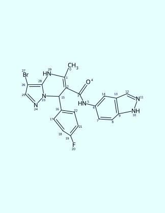 CC1=C(C(=O)Nc2ccc3[nH]ncc3c2)C(c2ccc(F)cc2)n2ncc(Br)c2N1